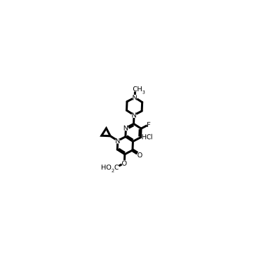 CN1CCN(c2nc3c(cc2F)c(=O)c(OC(=O)O)cn3C2CC2)CC1.Cl